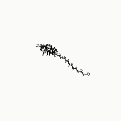 CCCCCCCCCCCCCCC(=O)N[C@@H](CC(=O)OCC)C(=O)O